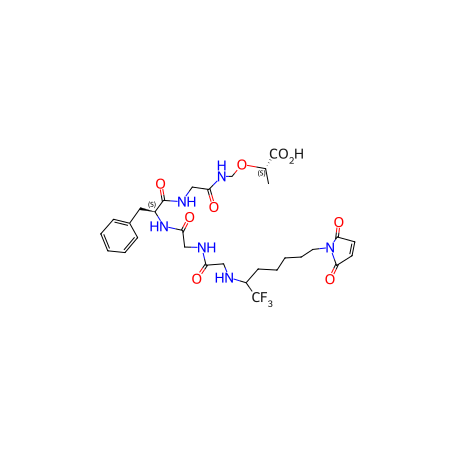 C[C@H](OCNC(=O)CNC(=O)[C@H](Cc1ccccc1)NC(=O)CNC(=O)CNC(CCCCCN1C(=O)C=CC1=O)C(F)(F)F)C(=O)O